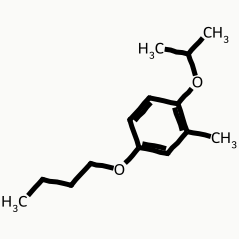 CCCCOc1ccc(OC(C)C)c(C)c1